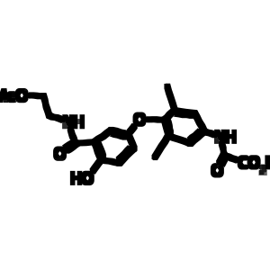 COCCNC(=O)c1cc(Oc2c(C)cc(NC(=O)C(=O)O)cc2C)ccc1O